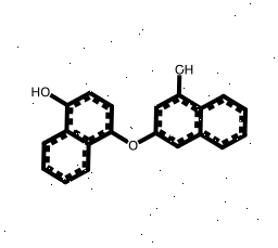 Oc1cc(Oc2ccc(O)c3ccccc23)cc2ccccc12